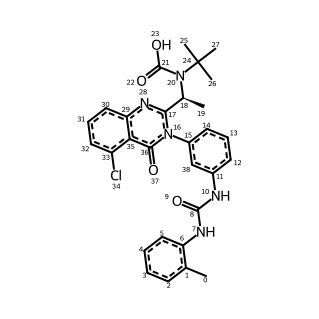 Cc1ccccc1NC(=O)Nc1cccc(-n2c([C@H](C)N(C(=O)O)C(C)(C)C)nc3cccc(Cl)c3c2=O)c1